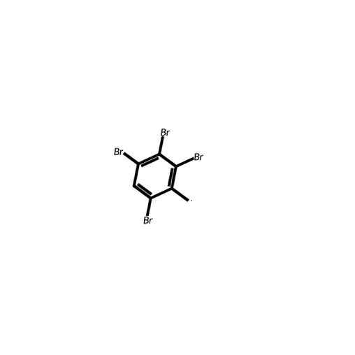 [CH2]c1c(Br)cc(Br)c(Br)c1Br